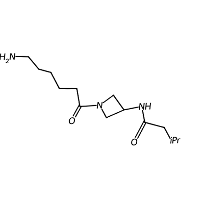 CC(C)CC(=O)NC1CN(C(=O)CCCCCN)C1